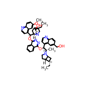 CC[C@H]1CC2[C@H]1CCN2[C@@H](C)[C@H](Oc1nnc(O[C@@H](c2ccnc3ccc(OC)cc23)[C@H]2CC3CCN2CC3(O)CC)c2ccccc12)c1ccnc2ccc(CO)cc12